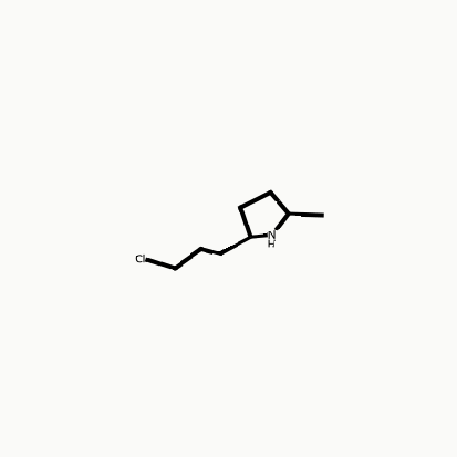 CC1CCC(CCCCl)N1